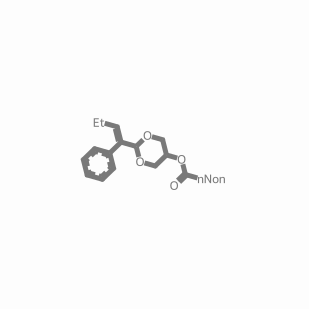 CC/C=C(\c1ccccc1)C1OCC(OC(=O)CCCCCCCCC)CO1